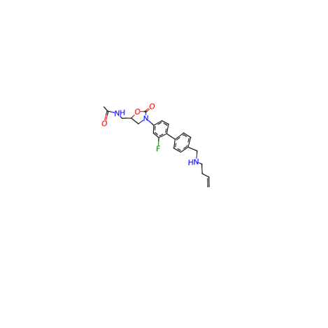 C=CCCNCc1ccc(-c2ccc(N3CC(CNC(C)=O)OC3=O)cc2F)cc1